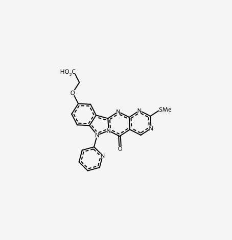 CSc1ncc2c(=O)n3c(nc2n1)c1cc(OCC(=O)O)ccc1n3-c1ccccn1